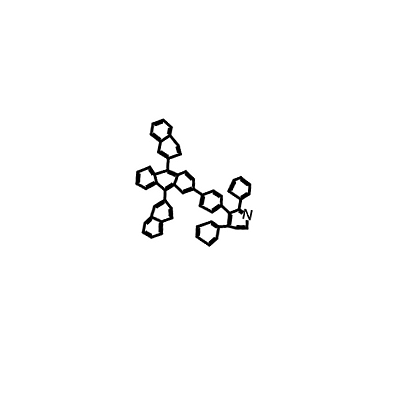 c1ccc(-c2ccnc(-c3ccccc3)c2-c2ccc(-c3ccc4c(-c5ccc6ccccc6c5)c5ccccc5c(-c5ccc6ccccc6c5)c4c3)cc2)cc1